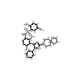 O=S(=O)(Nc1ccc(F)c(-c2nc(N3CCC4(CC3)OCCO4)sc2-c2ccncc2)c1F)c1cc(F)ccc1F